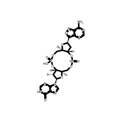 Nc1ncnc2c([C@H]3C[C@@H]4O[PH](=O)OC[C@H]5O[C@@H](n6cnc7c(=O)[nH]cnc76)[C@H](F)[C@@H]5OP(=O)(O)OC[C@H]4O3)snc12